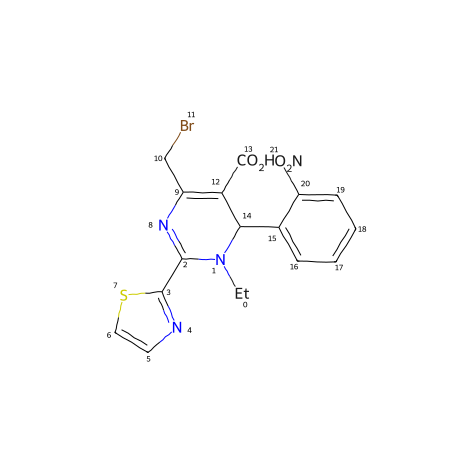 CCN1C(c2nccs2)=NC(CBr)=C(C(=O)O)C1c1ccccc1[N+](=O)[O-]